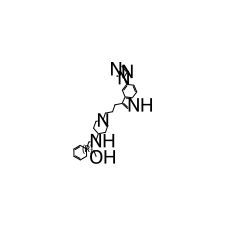 OC[C@@]1(CNC2CCN(CCCc3c[nH]c4ccc(-n5cncn5)cc34)CC2)C=CC=CC1